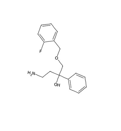 NCCC(O)(COCc1ccccc1F)c1ccccc1